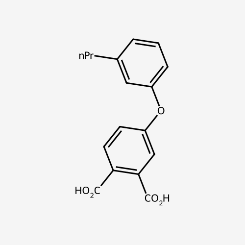 CCCc1cccc(Oc2ccc(C(=O)O)c(C(=O)O)c2)c1